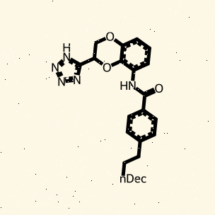 CCCCCCCCCCCCc1ccc(C(=O)Nc2cccc3c2OC(c2nnn[nH]2)CO3)cc1